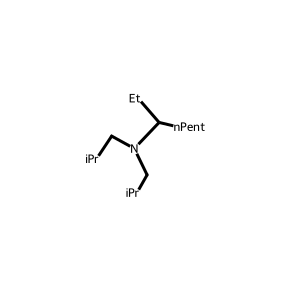 CCCCCC(CC)N(CC(C)C)CC(C)C